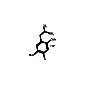 Br.COc1cc(C[C@@H](C)N)c(OC)cc1Br